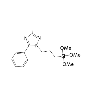 CO[Si](CCCn1nc(C)nc1-c1ccccc1)(OC)OC